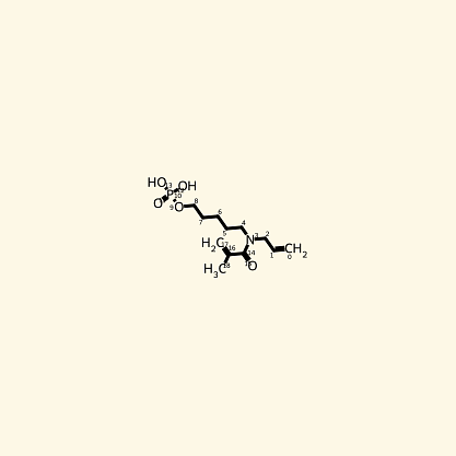 C=CCN(CCCCCOP(=O)(O)O)C(=O)C(=C)C